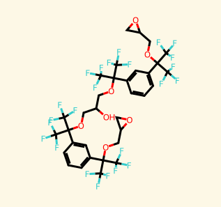 OC(COC(c1cccc(C(OCC2CO2)(C(F)(F)F)C(F)(F)F)c1)(C(F)(F)F)C(F)(F)F)COC(c1cccc(C(OCC2CO2)(C(F)(F)F)C(F)(F)F)c1)(C(F)(F)F)C(F)(F)F